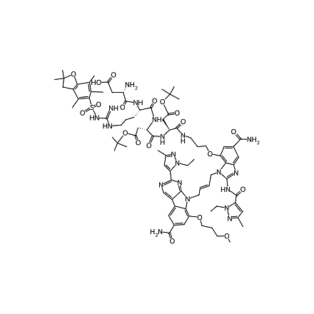 CCn1nc(C)cc1C(=O)Nc1nc2cc(C(N)=O)cc(OCCCNC(=O)[C@H](CC(=O)OC(C)(C)C)NC(=O)[C@H](CC(=O)OC(C)(C)C)NC(=O)[C@H](CCCNC(=N)NS(=O)(=O)c3c(C)c(C)c4c(c3C)CC(C)(C)O4)NC(=O)[C@@H](N)CC(=O)O)c2n1C/C=C/Cn1c2nc(-c3cc(C)nn3CC)ncc2c2cc(C(N)=O)cc(OCCCOC)c21